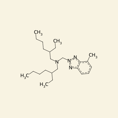 CCCCC(CC)CN(CC(CC)CCCC)Cn1nc2cccc(C)c2n1